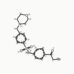 O=C(CBr)c1ccc(NS(=O)(=O)c2ccc(CN3CCOCC3)cc2)cc1